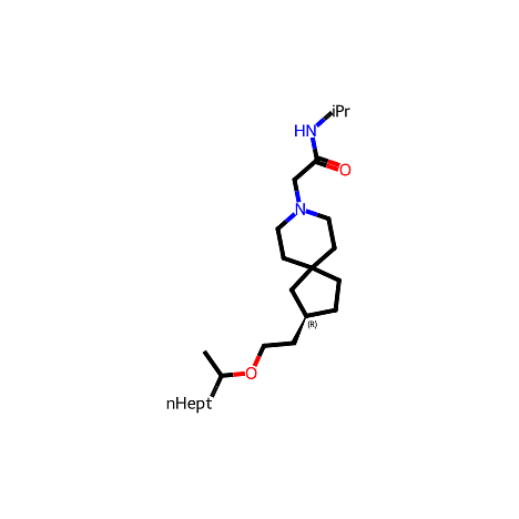 CCCCCCCC(C)OCC[C@@H]1CCC2(CCN(CC(=O)NC(C)C)CC2)C1